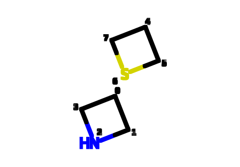 C1CNC1.C1CSC1